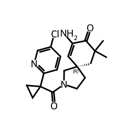 CC1(C)C[C@]2(C=C(N)C1=O)CCN(C(=O)C1(c3ccc(Cl)cn3)CC1)C2